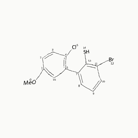 COc1ccc(Cl)c(-c2cccc(Br)c2S)c1